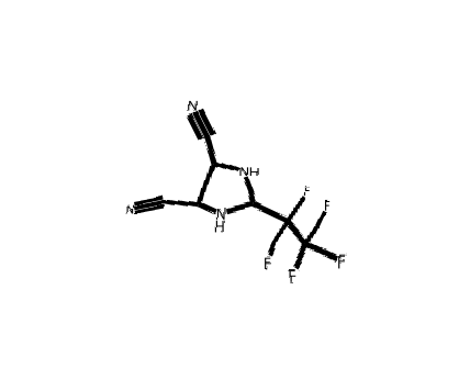 N#CC1NC(C(F)(F)C(F)(F)F)NC1C#N